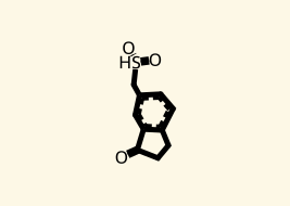 O=C1CCc2ccc(C[SH](=O)=O)cc21